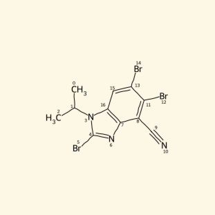 CC(C)n1c(Br)nc2c(C#N)c(Br)c(Br)cc21